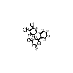 Cc1cc(=O)c(-c2ccc(Cl)c(Cl)c2)c(-c2ccccc2)o1